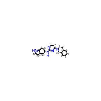 c1ccc2c(c1)CCN(c1ccnc(Nc3ccc4[nH]ccc4c3)n1)C2